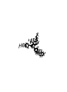 CCCCNc1ncc2c(n1)c(C1=CC[C@@H](O)CC1)cn2-c1ccc(S(=O)(=O)N2CCCCC2)cc1